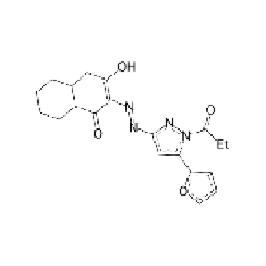 CCC(=O)n1nc(N=NC2=C(O)CC3CCCCC3C2=O)cc1-c1ccco1